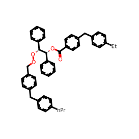 CCCc1ccc(Cc2ccc(COO[C@H](c3ccccc3)[C@H](OC(=O)c3ccc(Cc4ccc(CC)cc4)cc3)c3ccccc3)cc2)cc1